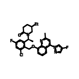 CCC1CCC(=O)N([C@@H](C)c2cc(F)cc(Cl)c2COc2cccc3c(-n4cc(F)cn4)cc(C)nc23)C1